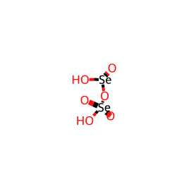 O=[Se](O)O[Se](=O)(=O)O